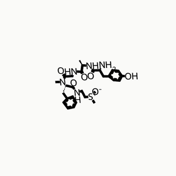 C[C@@H](NC(=O)[C@@H](N)Cc1ccc(O)cc1)C(=O)NCC(=O)N(C)[C@@H](Cc1ccccc1)C(=O)NCC[S+](C)[O-]